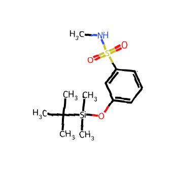 CNS(=O)(=O)c1[c]ccc(O[Si](C)(C)C(C)(C)C)c1